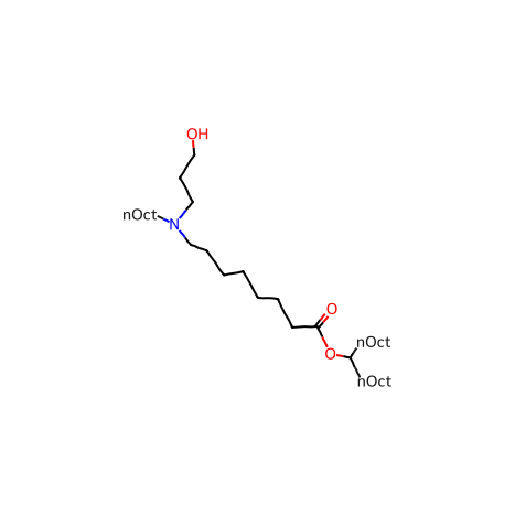 CCCCCCCCC(CCCCCCCC)OC(=O)CCCCCCCN(CCCO)CCCCCCCC